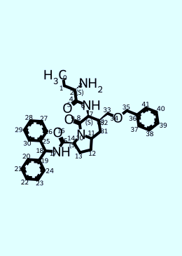 CC[C@H](N)C(=O)N[C@@H]1C(=O)N2C(CC[C@H]2C(=O)NC(c2ccccc2)c2ccccc2)C[C@@H]1COCc1ccccc1